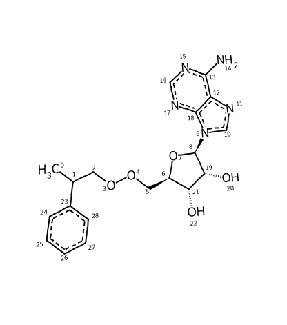 CC(COOC[C@H]1O[C@@H](n2cnc3c(N)ncnc32)[C@H](O)[C@@H]1O)c1ccccc1